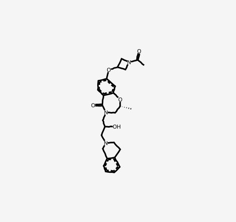 CC(=O)N1CC(Oc2ccc3c(c2)O[C@H](C)CN(CC(O)CN2CCc4ccccc4C2)C3=O)C1